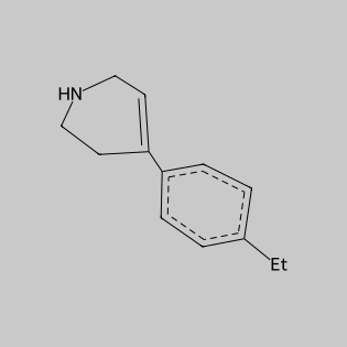 CCc1ccc(C2=CCNCC2)cc1